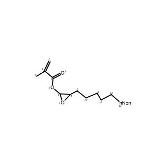 C=C(C)C(=O)OC1OC1CCCCCCCCCCCCCC